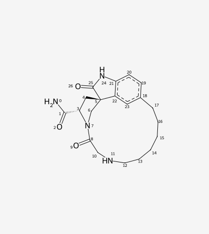 NC(=O)[C@@H]1C[C@]23CN1C(=O)CNCCCCCCc1ccc(c2c1)NC3=O